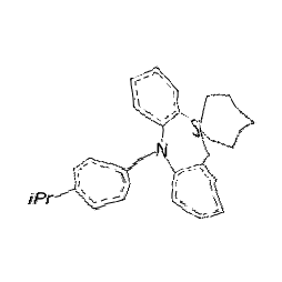 CC(C)c1ccc(N2c3ccccc3[Si]3(CCCC3)c3ccccc32)cc1